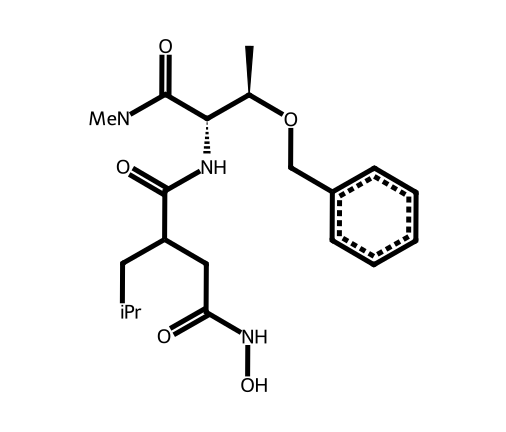 CNC(=O)[C@@H](NC(=O)C(CC(=O)NO)CC(C)C)[C@@H](C)OCc1ccccc1